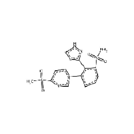 CS(=O)(=O)c1ccc(-c2cccc(S(N)(=O)=O)c2-c2nn[nH]n2)cn1